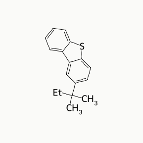 CCC(C)(C)c1ccc2sc3ccccc3c2c1